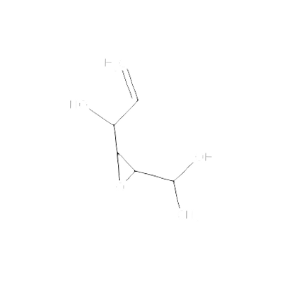 C=CC(O)C1OC1C(C)O